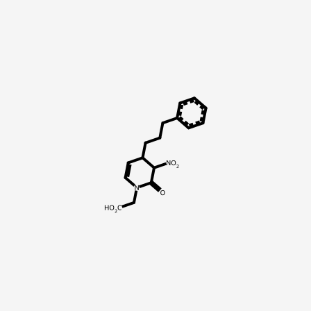 O=C(O)CN1C=CC(CCCc2ccccc2)C([N+](=O)[O-])C1=O